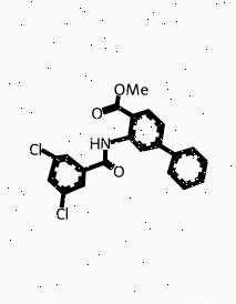 COC(=O)c1ccc(-c2ccccc2)cc1NC(=O)c1cc(Cl)cc(Cl)c1